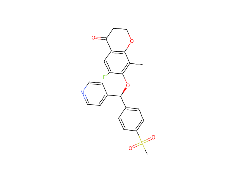 Cc1c(O[C@H](c2ccncc2)c2ccc(S(C)(=O)=O)cc2)c(F)cc2c1OCCC2=O